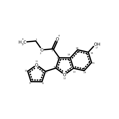 CCOC(=O)c1c(-c2ccco2)oc2ccc(O)cc12